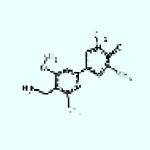 COc1cc(-c2cc(C)c(=O)n(C)c2)cc(C)c1CN